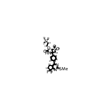 CSc1nc(-c2ccc(C3(NC(=O)OCC[Si](C)(C)C)CS(=O)(=O)C3)cc2)c2c(n1)C(F)(F)CC2